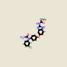 COC(=O)Nc1nc2cc(Oc3ccc(N(C(N)=O)c4cccc(Cl)c4)cc3)ccc2[nH]1